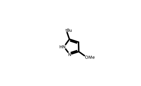 COc1cc(C(C)(C)C)[nH]n1